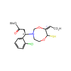 COC(=O)C[C@H](c1ccccc1Cl)N1CCOC(S)/C(=C\C(=O)O)OC1